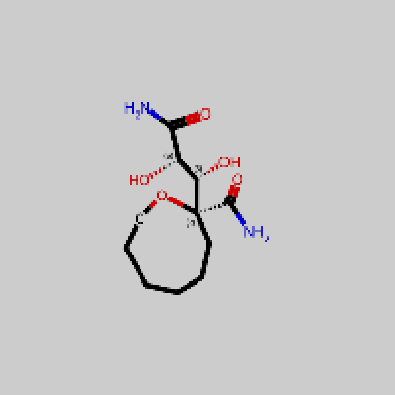 NC(=O)[C@@H](O)[C@H](O)[C@@]1(C(N)=O)CCCCCCO1